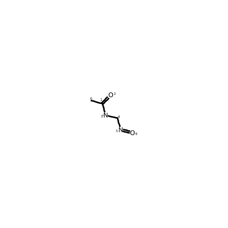 CC(=O)[N]CN=O